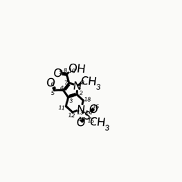 Cn1c2c(c(C=O)c1C(=O)O)CCN(S(C)(=O)=O)C2